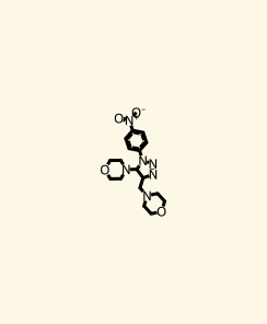 O=[N+]([O-])c1ccc(N2N=NC(CN3CCOCC3)C2N2CCOCC2)cc1